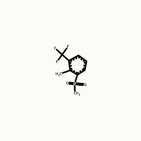 Cc1c(C(F)(F)F)cccc1S(C)(=O)=O